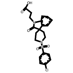 O=C(O)CCN1C(=O)C2(CCN(S(=O)(=O)c3ccc(Cl)cc3)CC2)c2ccccc21